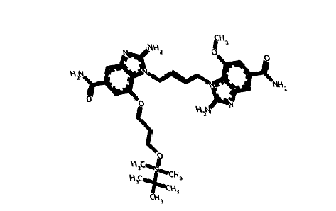 COc1cc(C(N)=O)cc2nc(N)n(CC=CCn3c(N)nc4cc(C(N)=O)cc(OCCCO[Si](C)(C)C(C)(C)C)c43)c12